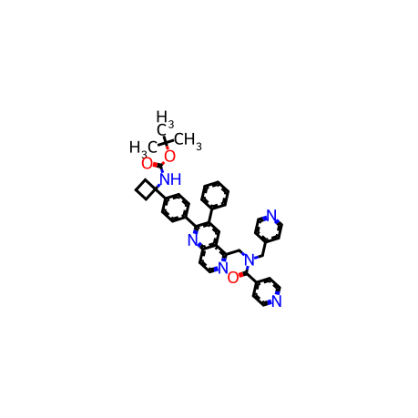 CC(C)(C)OC(=O)NC1(c2ccc(-c3nc4ccnc(CN(Cc5ccncc5)C(=O)c5ccncc5)c4cc3-c3ccccc3)cc2)CCC1